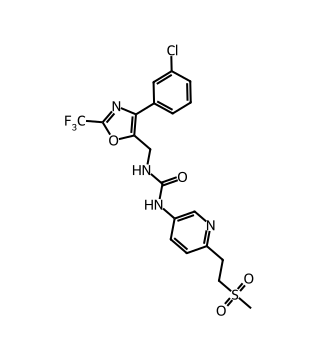 CS(=O)(=O)CCc1ccc(NC(=O)NCc2oc(C(F)(F)F)nc2-c2cccc(Cl)c2)cn1